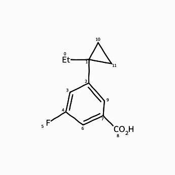 CCC1(c2cc(F)cc(C(=O)O)c2)CC1